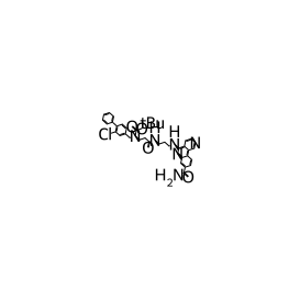 CC(C)(C)OC(=O)N(CCC(=O)NCCCNc1nc2cc(C(N)=O)ccc2c2cnccc12)Cc1ccc(-c2ccccc2)c(Cl)c1